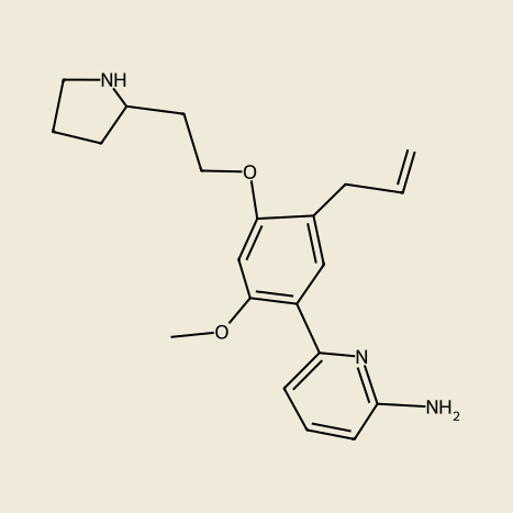 C=CCc1cc(-c2cccc(N)n2)c(OC)cc1OCCC1CCCN1